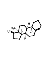 C=C1CC[C@H]2[C@@H]3CCC4=CCCC[C@]4(C)[C@@H]3CC[C@]12C